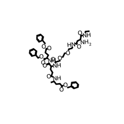 CCNC(=O)C(N)CC(=O)NCCOCCOCC(=O)NC(CCC(=O)NC(C)CCC(=O)OCc1ccccc1)C(=O)NC(CCC(=O)OCc1ccccc1)C(=O)OCc1ccccc1